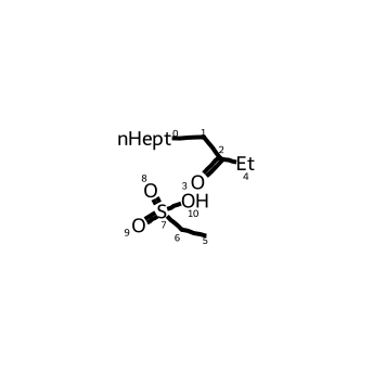 CCCCCCCCC(=O)CC.CCS(=O)(=O)O